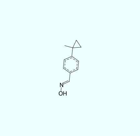 CC1(c2ccc(/C=N/O)cc2)CC1